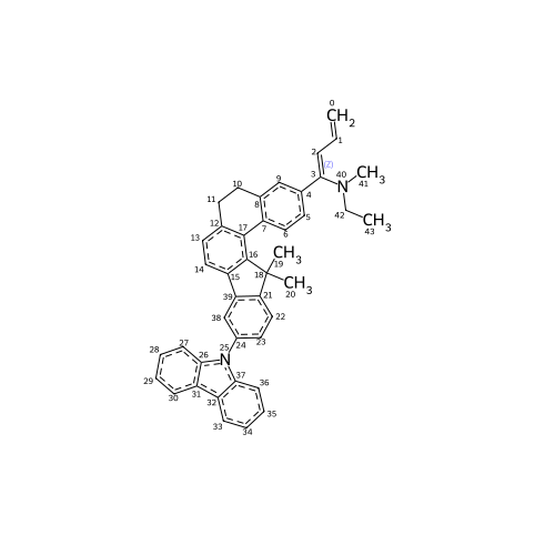 C=C/C=C(/c1ccc2c(c1)CCc1ccc3c(c1-2)C(C)(C)c1ccc(-n2c4ccccc4c4ccccc42)cc1-3)N(C)CC